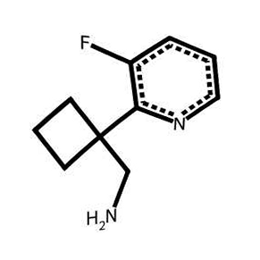 NCC1(c2ncccc2F)CCC1